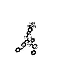 O=C(NC(CC1CCN(CC2CCCCC2)CC1)C(=O)N1CCC[C@H]1C(=O)N1CCO[C@H](c2ccccc2)C1)c1cc2cc(C(F)(F)P(=O)(O)O)ccc2s1